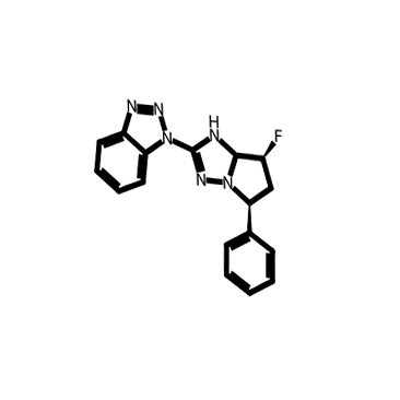 F[C@H]1C[C@@H](c2ccccc2)N2N=C(n3nnc4ccccc43)NC12